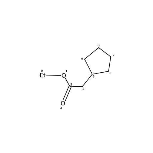 C[CH]OC(=O)CC1CCCC1